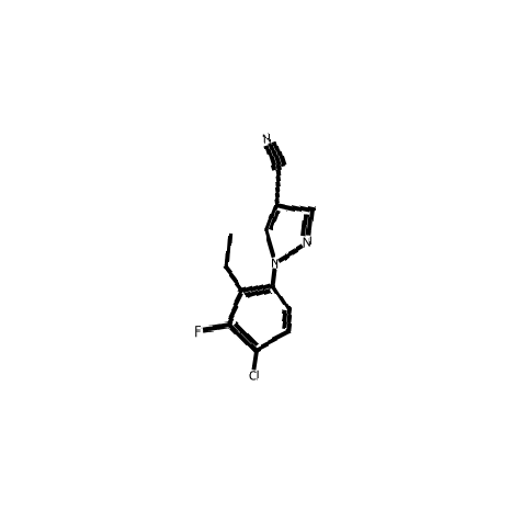 CCc1c(-n2cc(C#N)cn2)ccc(Cl)c1F